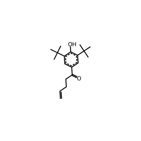 C=CCCC(=O)c1cc(C(C)(C)C)c(O)c(C(C)(C)C)c1